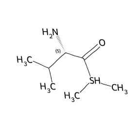 CC(C)[C@H](N)C(=O)[SH](C)C